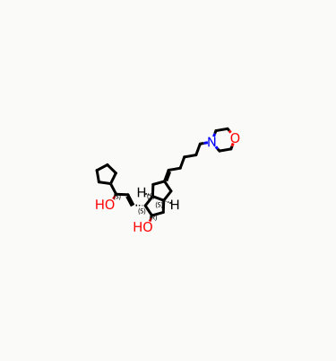 O[C@H](C=C[C@@H]1[C@H]2CC(=CCCCCN3CCOCC3)C[C@H]2C[C@H]1O)C1CCCC1